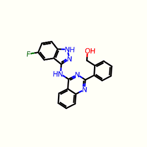 OCc1ccccc1-c1nc(Nc2n[nH]c3ccc(F)cc23)c2ccccc2n1